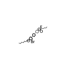 CCCCCCCOc1ccc(-c2ccc([C@H]3CC[C@H](OC(=O)[C@@H](F)CCCC)CC3)cc2)cc1Br